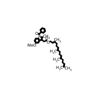 COc1ccc2c(c1)c(CC(=O)OC/C=C(\C)CC/C=C(\C)CC/C=C(\C)CCC=C(C)C)c(C)n2C(=O)c1ccccc1